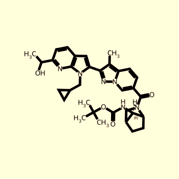 Cc1c(-c2cc3ccc(C(C)O)nc3n2CC2CC2)nn2cc(C(=O)N3CC4CCC3[C@@H]4NC(=O)OC(C)(C)C)ccc12